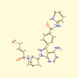 Nc1ncnc2c1c(-c1ccc(C(=O)Nc3ccccn3)cc1)nn2C1CC2CC1N(C(=O)C=CCBr)C2